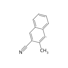 Cc1[c]c2ccccc2cc1C#N